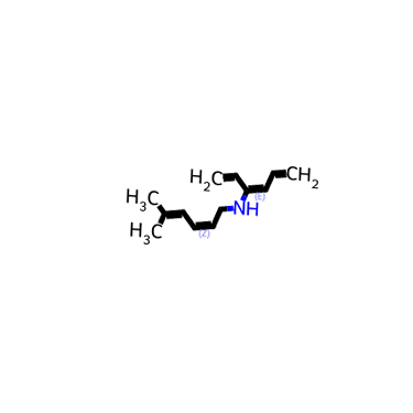 C=C/C=C(\C=C)NC/C=C\C=C(C)C